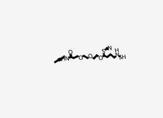 CC#CCNC(=O)CCOCCOCCOC(CCCNS)SC#N